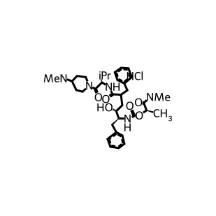 CNC(=O)[C@@H](C)OC(=O)N[C@@H](Cc1ccccc1)[C@@H](O)CC(Cc1ccccc1)C(=O)N[C@H](C(=O)N1CCC(NC)CC1)C(C)C.Cl